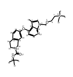 Cc1cn(COCCS(C)(C)C)c2nccc(Oc3ccc4c(c3)CN(C(=O)OC(C)(C)C)CC4)c12